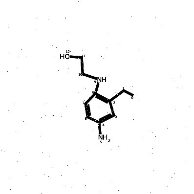 CCc1cc(N)ccc1NCCO